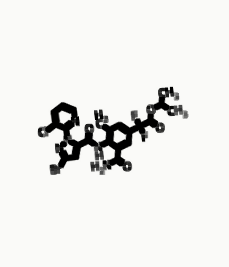 Cc1cc(C(F)(F)C(=O)OC(C)C)cc(C(N)=O)c1NC(=O)c1cc(Br)nn1-c1ncccc1Cl